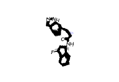 O=C(/C=C\c1ccc2cn[nH]c2c1)N[C@@H]1C[C@H](F)c2ccccc21